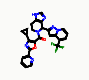 O=C(c1oc(-c2ccccn2)nc1C1CC1)N1CCc2[nH]cnc2C1c1cc2c(C(F)(F)F)cccn2n1